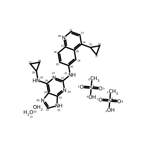 CS(=O)(=O)O.CS(=O)(=O)O.O.O.c1cc(C2CC2)c2cc(Nc3nc(NC4CC4)c4nc[nH]c4n3)ccc2n1